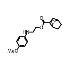 COc1ccc(NCCOC(=O)C2CC3CCC2O3)cc1